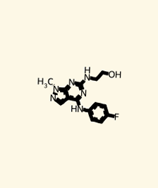 Cn1ncc2c(Nc3ccc(F)cc3)nc(NCCO)nc21